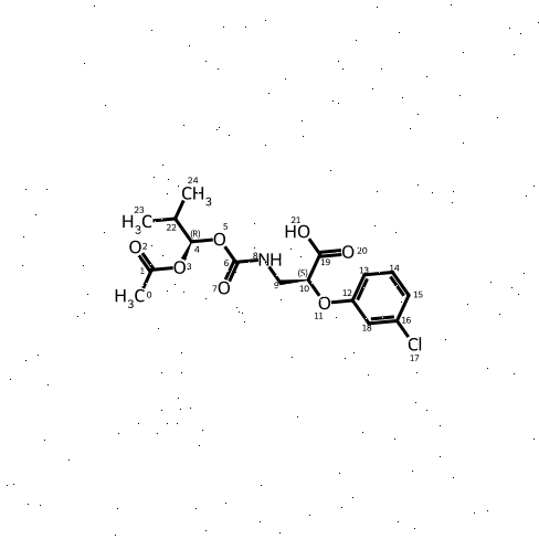 CC(=O)O[C@H](OC(=O)NC[C@H](Oc1cccc(Cl)c1)C(=O)O)C(C)C